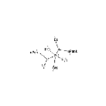 CCCCCC(CC)P(C)(O)(O)C(CC)CCCCC